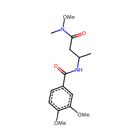 COc1ccc(C(=O)NC(C)CC(=O)N(C)OC)cc1OC